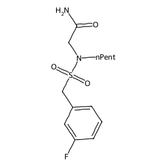 CCCCCN(CC(N)=O)S(=O)(=O)Cc1cccc(F)c1